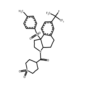 Cc1ccc(S(=O)(=O)C23CCN(C(=O)C4CCS(=O)(=O)CC4)C2CCc2cc(C(F)(C(F)(F)F)C(F)(F)F)ccc23)cc1